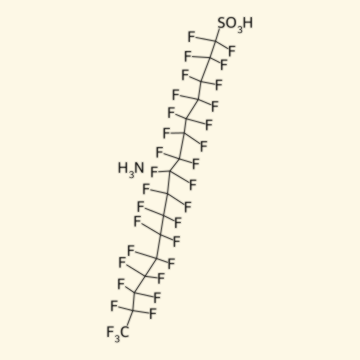 N.O=S(=O)(O)C(F)(F)C(F)(F)C(F)(F)C(F)(F)C(F)(F)C(F)(F)C(F)(F)C(F)(F)C(F)(F)C(F)(F)C(F)(F)C(F)(F)C(F)(F)C(F)(F)C(F)(F)C(F)(F)F